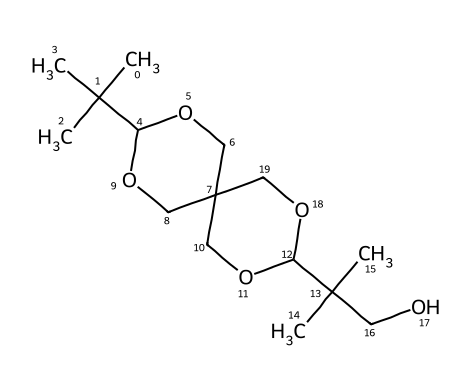 CC(C)(C)C1OCC2(CO1)COC(C(C)(C)CO)OC2